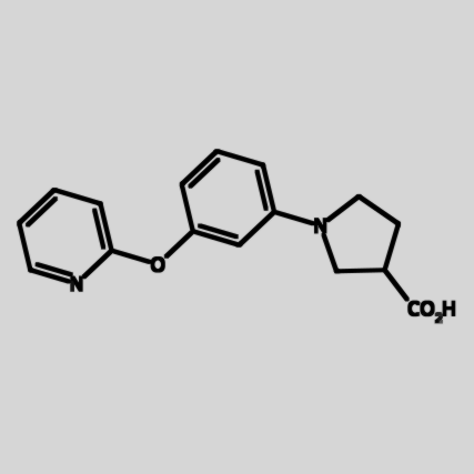 O=C(O)C1CCN(c2cccc(Oc3ccccn3)c2)C1